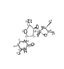 CC[C@H]1O[C@@H](n2cc(C)c(=O)[nH]c2=O)C[C@@H]1OP1(=S)O[C@H](C)[C@H](C)S1